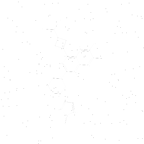 Cc1nc2nc(N3CCO[C@@H](c4cnn(C)c4)C3)nc(C3CC(C(F)F)C3)c2nc1C